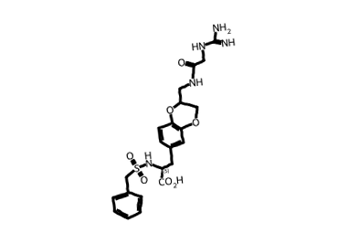 N=C(N)NCC(=O)NCC1COc2cc(C[C@H](NS(=O)(=O)Cc3ccccc3)C(=O)O)ccc2O1